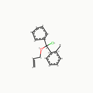 C=CCOC(Cl)(c1ccccc1)c1ccccc1C